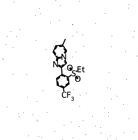 CCS(=O)(=O)c1cc(C(F)(F)F)ccc1-c1cn2cc(C)ccc2n1